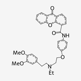 CCN(CCOc1ccc(NC(=O)c2cccc3c(=O)c4ccccc4oc23)cc1)CCc1ccc(OC)c(OC)c1